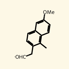 COc1ccc2c(C)c(C[C]=O)ccc2c1